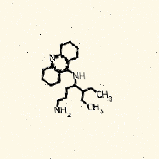 CCC(CC)C(CCCN)Nc1c2c(nc3c1CCCC3)CCCC2